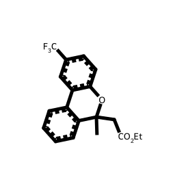 CCOC(=O)CC1(C)Oc2ccc(C(F)(F)F)cc2-c2ccccc21